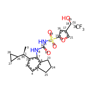 C[C@@H](c1ccc2c(c1NC(=O)NS(=O)(=O)c1cc([C@H](O)C(F)(F)F)co1)CCC2)C1CC1